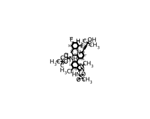 Cn1nc(NS(C)(=O)=O)c2c(Cl)ccc(-c3ccc(C#CC(C)(C)O)nc3C(Cc3cc(F)cc(F)c3)NC(=O)OC(C)(C)C)c21